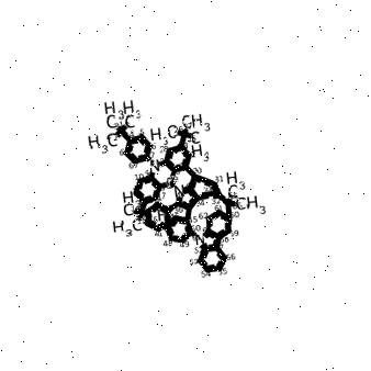 CC(C)(C)c1ccc(N2c3ccc(C(C)(C)C)cc3B3c4c(cc(C(C)(C)C)cc42)-c2cc4cc5c(c(-c6ccccc6)n3c25)-c2ccccc2-n2c3ccccc3c3cc(ccc32)C4(C)C)cc1